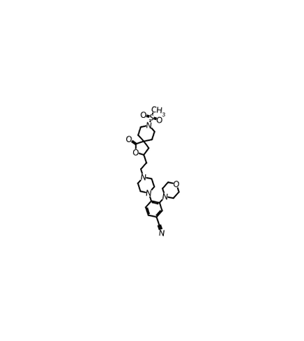 CS(=O)(=O)N1CCC2(CC1)CC(CCN1CCN(c3ccc(C#N)cc3N3CCOCC3)CC1)OC2=O